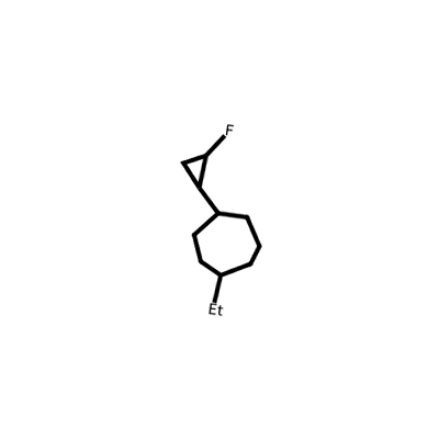 CCC1CCCC(C2CC2F)CC1